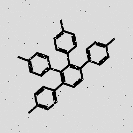 Cc1ccc(-c2ccc(-c3ccc(C)cc3)c(-c3ccc(C)cc3)c2-c2ccc(C)cc2)cc1